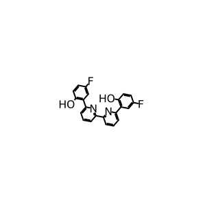 Oc1ccc(F)cc1-c1cccc(-c2cccc(-c3cc(F)ccc3O)n2)n1